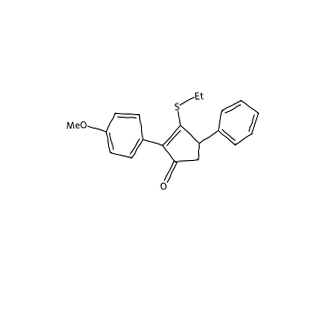 CCSC1=C(c2ccc(OC)cc2)C(=O)CC1c1ccccc1